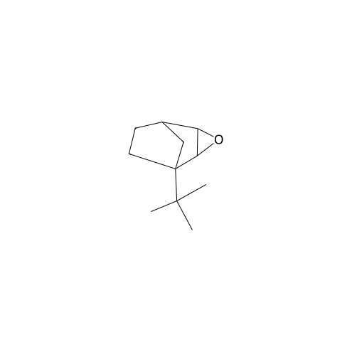 CC(C)(C)C12CCC(C1)C1OC12